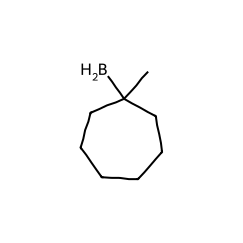 BC1(C)CCCCCC1